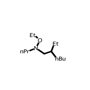 CCCCC(CC)CN(CCC)OCC